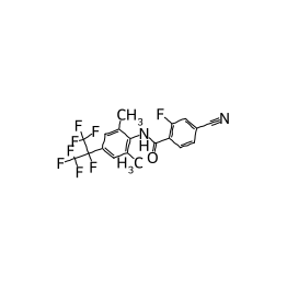 Cc1cc(C(F)(C(F)(F)F)C(F)(F)F)cc(C)c1NC(=O)c1ccc(C#N)cc1F